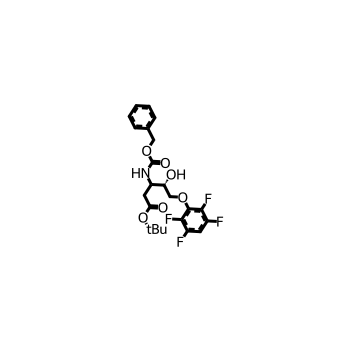 CC(C)(C)OC(=O)CC(NC(=O)OCc1ccccc1)[C@H](O)COc1c(F)c(F)cc(F)c1F